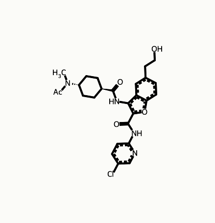 CC(=O)N(C)[C@H]1CC[C@H](C(=O)Nc2c(C(=O)Nc3ccc(Cl)cn3)oc3ccc(CCO)cc23)CC1